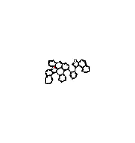 c1ccc(-c2coc3ccc4ccccc4c23)c(-c2ccc3cc4ccccc4cc3c2-c2ccccc2-c2coc3ccc4ccccc4c23)c1